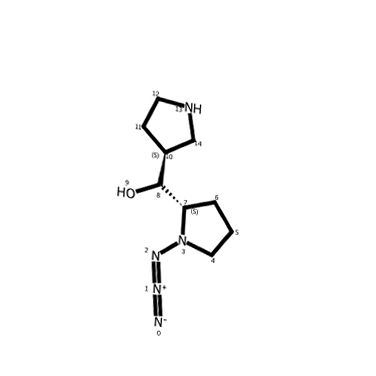 [N-]=[N+]=NN1CCC[C@H]1C(O)[C@H]1CCNC1